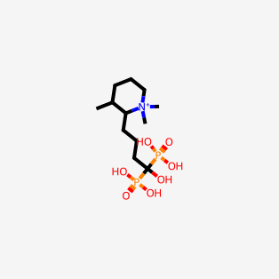 CC1CCC[N+](C)(C)C1CCCC(O)(P(=O)(O)O)P(=O)(O)O